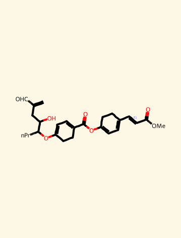 C=C(C=O)CC(O)C(CCC)OC1=CC=C(C(=O)OC2=CC=C(/C=C/C(=O)OC)CC2)CC1